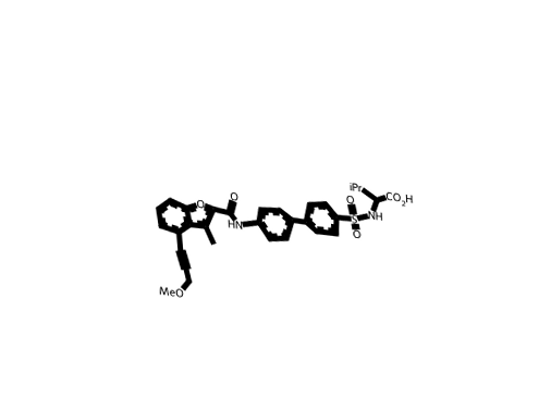 COCC#Cc1cccc2oc(C(=O)Nc3ccc(-c4ccc(S(=O)(=O)NC(C(=O)O)C(C)C)cc4)cc3)c(C)c12